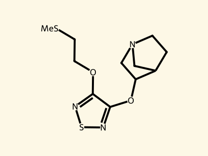 CSCCOc1nsnc1OC1CN2CCC1C2